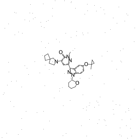 Cn1nc(-c2nn(C3CCCCO3)c3ccc(OC4(C)CC4)cc23)cc(N2CCC3(CCC3)C2)c1=O